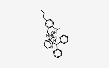 CCCc1ccc(OC)c(CNC2C3CCN(C[C@@H]3C(=O)O)[C@H]2C(c2ccccc2)c2ccccc2)c1